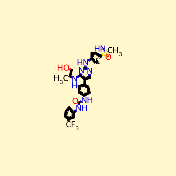 C[C@H](CO)Nc1nc(Nc2ccc(S(C)(=N)=O)cc2)ncc1-c1ccc(NC(=O)Nc2cccc(C(F)(F)F)c2)cc1